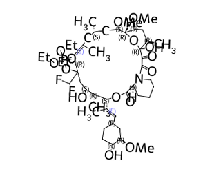 CCOP(=O)(OCC)OC1(C(F)F)C[C@H](O)[C@@H](C)[C@@H](/C(C)=C/[C@@H]2CC[C@@H](O)[C@H](OC)C2)OC(=O)[C@@H]2CCCCN2C(=O)C(=O)[C@]2(O)O[C@H]([C@@H](OC)C[C@@H](C)C/C(C)=C/[C@H]1CC)[C@@H](OC)C[C@H]2C